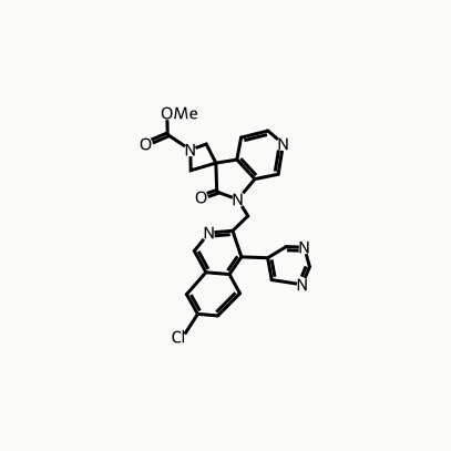 COC(=O)N1CC2(C1)C(=O)N(Cc1ncc3cc(Cl)ccc3c1-c1cncnc1)c1cnccc12